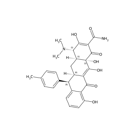 Cc1ccc([C@@H]2c3cccc(O)c3C(=O)C3=C(O)[C@]4(O)C(=O)C(C(N)=O)=C(O)[C@@H](N(C)C)[C@@H]4C[C@@H]32)cc1